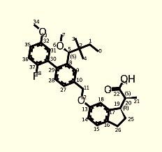 CCC(C)(C)[C@H](OC)c1cc(COc2ccc3c(c2)[C@@H]([C@H](C)C(=O)O)CC3)ccc1-c1cc(OC)ccc1F